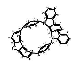 c1ccc2c(c1)c1ccc3c4ccccc4n4c5ccc(cc5)c5ccc6oc7ccc(cc7c6c5)c5ccc(cc5)n2c1c34